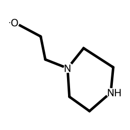 [O]CCN1CCNCC1